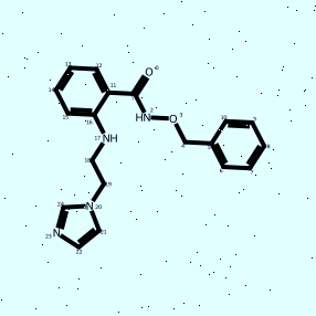 O=C(NOCc1ccccc1)c1ccccc1NCCn1ccnc1